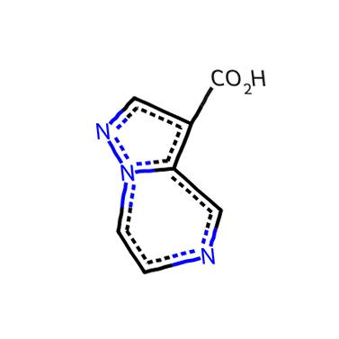 O=C(O)c1cnn2ccncc12